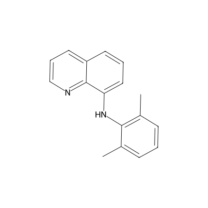 Cc1cccc(C)c1Nc1cccc2cccnc12